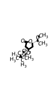 COC(C)[C@@H]1C[C@@H](O[Si](C)(C)C(C)(C)C)CC(=O)O1